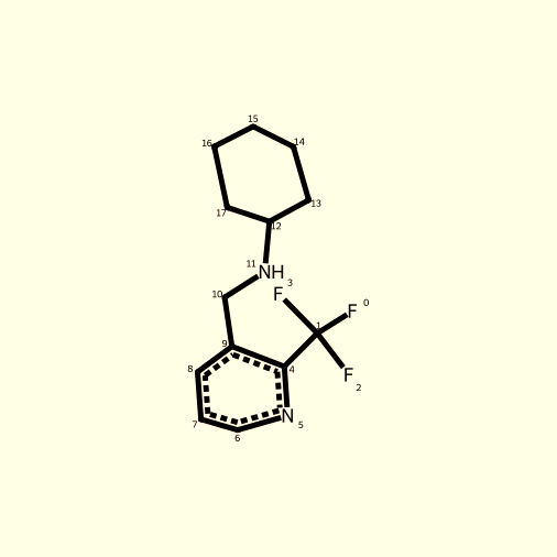 FC(F)(F)c1ncccc1CNC1CCCCC1